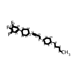 CCCCC[C@H]1CC[C@H](/C=C/C#C[C@H]2CC[C@H](c3cc(F)c(F)c(F)c3)CC2)CC1